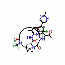 CC(=O)c1nn2c3c(cc(-c4cnc(C)nc4)cc13)CCCCCCC(=O)N(C(F)(F)F)C[C@@]13C[C@@H](C(=O)Nc4nc(C(F)(F)F)ccc4C)N(C(=O)C2)[C@@H]1C3